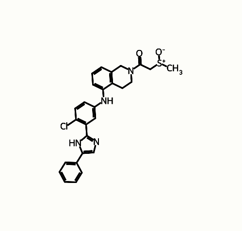 C[S+]([O-])CC(=O)N1CCc2c(cccc2Nc2ccc(Cl)c(-c3ncc(-c4ccccc4)[nH]3)c2)C1